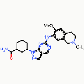 COc1cc2c(cc1Nc1ncc3cnn(C4CCCC(C(N)=O)C4)c3n1)CN(C)CC2